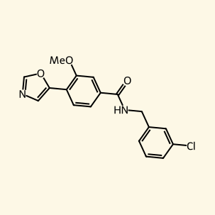 COc1cc(C(=O)NCc2cccc(Cl)c2)ccc1-c1cnco1